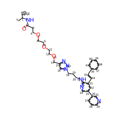 CC(NC(=O)CCOCCOCCOCc1cn(CCCNc2ncc(-c3cccnc3)cc2/C=C/c2ccccc2)nn1)C(C)(C)C